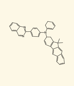 CC1(C)C2=C(C=CC(N(C3=CC=CCC3)c3ccc(-c4ncc5ccccc5n4)cc3)C2)c2cc3ccccc3cc21